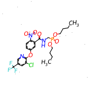 CCCCOP(=O)(CNC(=O)c1cc(Oc2ncc(C(F)(F)F)cc2Cl)ccc1[N+](=O)[O-])OCCCC